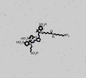 CC1(C)C(/C=C/C2=C(Oc3ccc(S(=O)(=O)O)cc3)C(=C/C=C3/N(CCCCS(=O)(=O)O)c4ccc(S(=O)(=O)O)cc4C3(C)C)/CCC2)=[N+](CCCCCC(=O)NCCCCCCN)c2ccc(S(=O)(=O)O)cc21